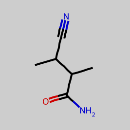 CC(C#N)C(C)C(N)=O